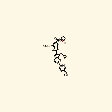 COc1cc(C(=O)N2CC3CCC2[C@@H]3N)cc2nc(-c3cc4ccc(-c5ccc(CO)cn5)nc4n3CC3CC3)n(C)c12